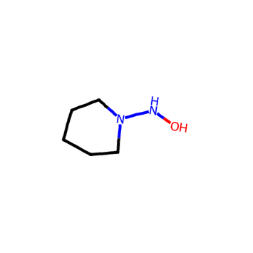 ONN1CCCCC1